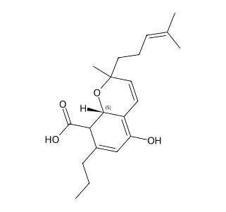 CCCC1=CC(O)=C2C=CC(C)(CCC=C(C)C)O[C@H]2C1C(=O)O